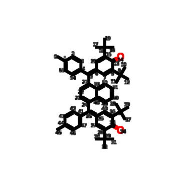 Cc1ccc(C(=C2C=C(C(C)(C)C)C(=O)C(C(C)(C)C)=C2)c2ccc(C(=C3C=C(C(C)(C)C)C(=O)C(C(C)(C)C)=C3)c3ccc(C)cc3)c3ccccc23)cc1